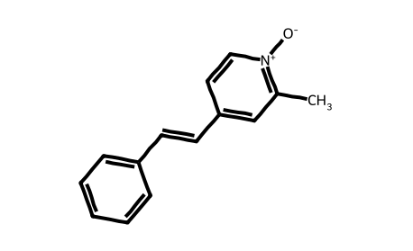 Cc1cc(C=Cc2ccccc2)cc[n+]1[O-]